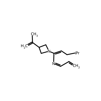 C=C/C=N\C(=C/CC(C)C)N1CC(C(=C)C)C1